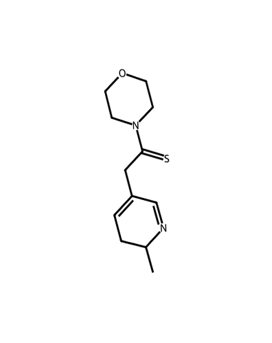 CC1CC=C(CC(=S)N2CCOCC2)C=N1